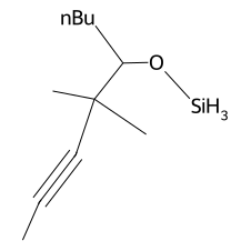 CC#CC(C)(C)C(CCCC)O[SiH3]